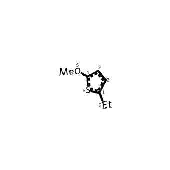 CCc1ccc(OC)s1